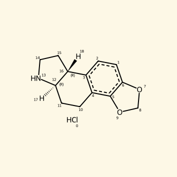 Cl.c1cc2c(c3c1OCO3)CC[C@H]1NCC[C@H]21